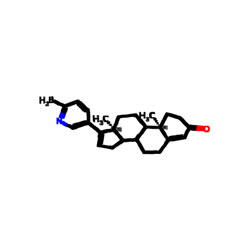 Bc1ccc(C2=CCC3C4CCC5=CC(=O)CC[C@]5(C)C4CC[C@]23C)cn1